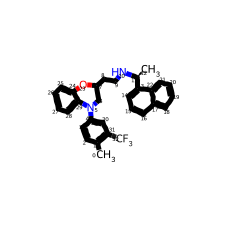 Cc1ccc(N2CC(CCN[C@H](C)c3cccc4ccccc34)Oc3ccccc32)cc1C(F)(F)F